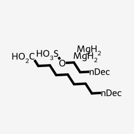 CCCCCCCCCCCCCCCCCC(=O)O.CCCCCCCCCCCCOS(=O)(=O)O.[MgH2].[MgH2]